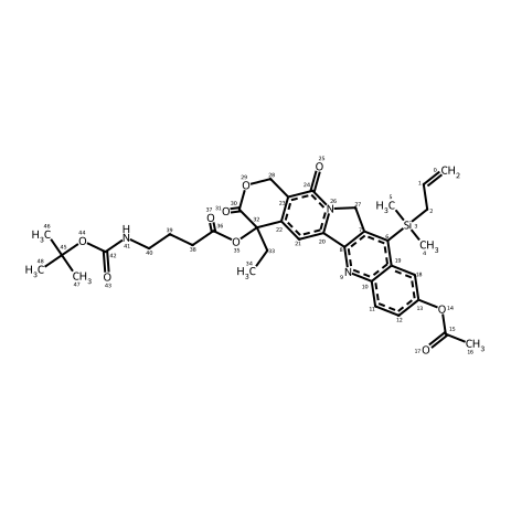 C=CC[Si](C)(C)c1c2c(nc3ccc(OC(C)=O)cc13)-c1cc3c(c(=O)n1C2)COC(=O)C3(CC)OC(=O)CCCNC(=O)OC(C)(C)C